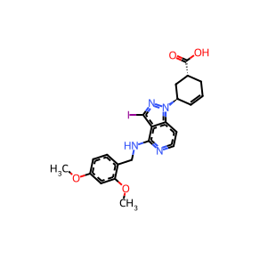 COc1ccc(CNc2nccc3c2c(I)nn3[C@@H]2C=CC[C@@H](C(=O)O)C2)c(OC)c1